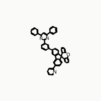 c1ccc(-c2cc(-c3ccccc3)nc(-c3cccc(-c4ccc5c(c4)-c4cc(-c6ccccn6)ccc4C54c5ccccc5Oc5ccccc54)c3)n2)cc1